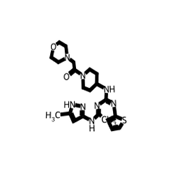 C/C(=N\C(=N/c1cccs1)NC1CCN(C(=O)CN2CCOCC2)CC1)Nc1cc(C)[nH]n1